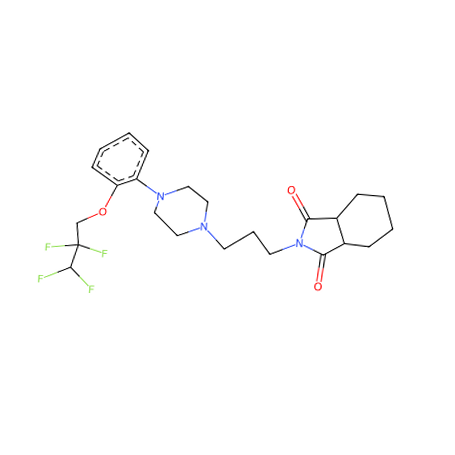 O=C1C2CCCCC2C(=O)N1CCCN1CCN(c2ccccc2OCC(F)(F)C(F)F)CC1